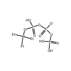 CC[N+](CC)(CC)OP(=O)(O)OP(=O)([O-])OP(=O)(O)O